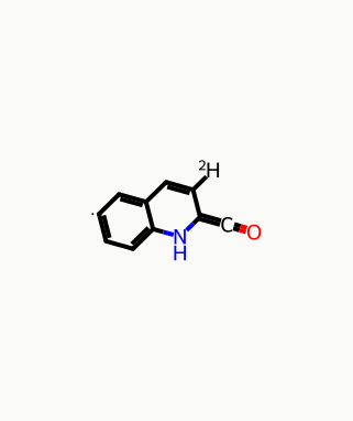 [2H]C1=Cc2c[c]ccc2NC1=C=O